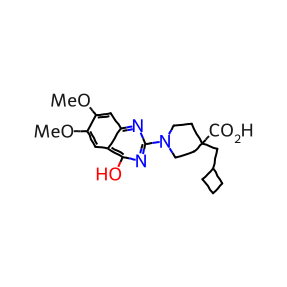 COc1cc2nc(N3CCC(CC4CCC4)(C(=O)O)CC3)nc(O)c2cc1OC